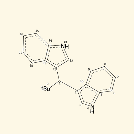 CC(C)(C)C(c1c[nH]c2ccccc12)c1c[nH]c2ccccc12